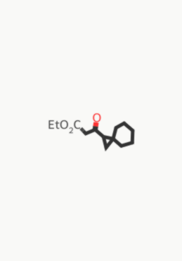 CCOC(=O)CC(=O)C1CC12CCCCC2